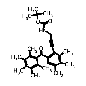 Cc1cc(C(=O)c2c(C)c(C)c(C)c(C)c2C)c(C#CCNC(=O)OC(C)(C)C)c(C)c1C